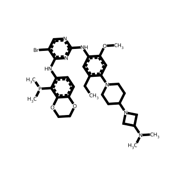 CCc1cc(Nc2ncc(Br)c(Nc3ccc4c(c3P(C)C)OCCO4)n2)c(OC)cc1N1CCC(N2CC(N(C)C)C2)CC1